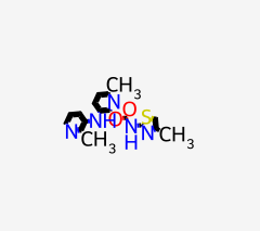 Cc1csc(NC(=O)Oc2nc(C)ccc2Nc2cccnc2C)n1